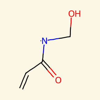 C=CC(=O)[N]CO